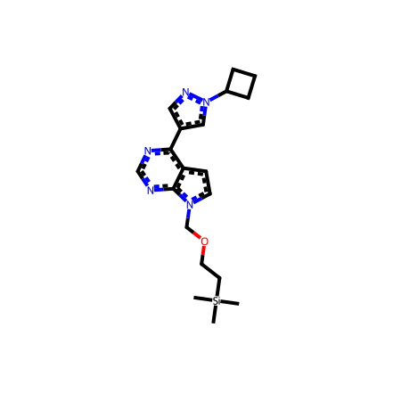 C[Si](C)(C)CCOCn1ccc2c(-c3cnn([C]4CCC4)c3)ncnc21